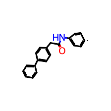 O=C(Cc1ccc(-c2ccccc2)cc1)Nc1cc[c]cc1